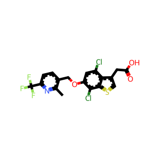 Cc1nc(C(F)(F)F)ccc1COc1cc(Cl)c2c(CC(=O)O)csc2c1Cl